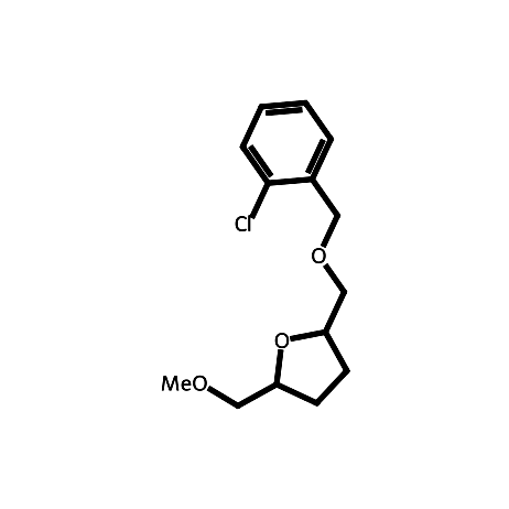 COCC1CCC(COCc2ccccc2Cl)O1